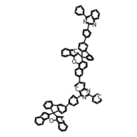 c1ccc(-c2nc(-c3ccc(-c4ccc5c(c4)-c4ccccc4C54c5ccc6ccccc6c5Oc5c4ccc4ccccc54)cc3)c3ccc(-c4ccc5c6c(ccc5c4)C4(c5ccccc5-c5cc(-c7ccc(-c8nc(-c9ccccc9)c9ccccc9n8)cc7)ccc54)c4ccc5ccccc5c4O6)cc3n2)cc1